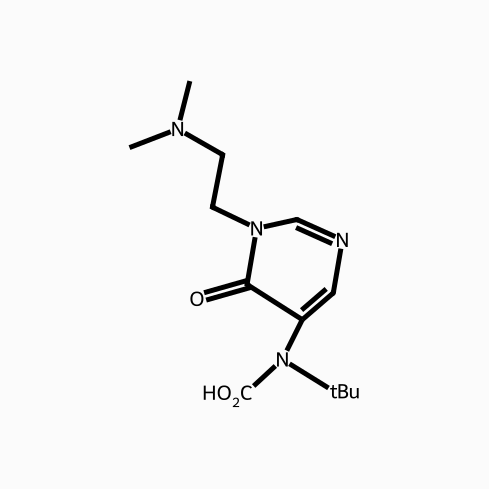 CN(C)CCn1cncc(N(C(=O)O)C(C)(C)C)c1=O